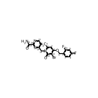 Cc1cc(OCc2ccc(F)cc2F)c(Br)c(=O)n1Cc1ccnc(C(N)=O)n1